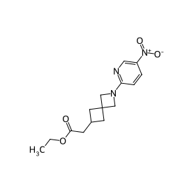 CCOC(=O)CC1CC2(C1)CN(c1ccc([N+](=O)[O-])cn1)C2